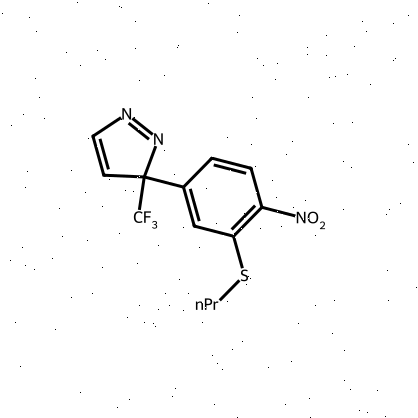 CCCSc1cc(C2(C(F)(F)F)C=CN=N2)ccc1[N+](=O)[O-]